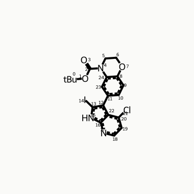 CC(C)(C)OC(=O)N1CCOc2ccc(-c3c(I)[nH]c4nccc(Cl)c34)cc21